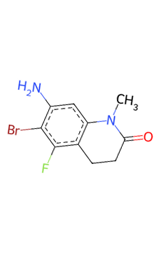 CN1C(=O)CCc2c1cc(N)c(Br)c2F